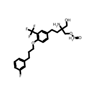 NC(CO)(CCc1ccc(OCCCc2cccc(F)c2)c(C(F)(F)F)c1)CO[PH2]=O